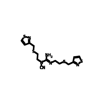 N#CN(CCSCc1ccsn1)/C(N)=N/CCSCc1ccsn1